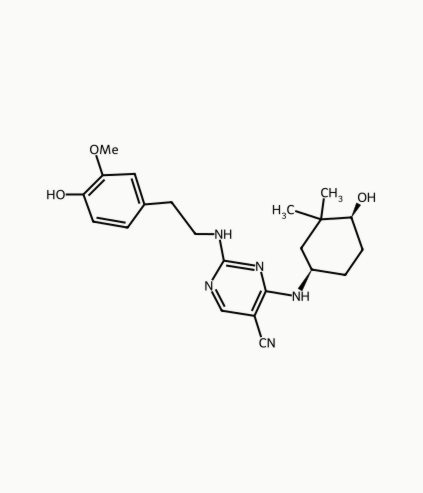 COc1cc(CCNc2ncc(C#N)c(N[C@@H]3CC[C@H](O)C(C)(C)C3)n2)ccc1O